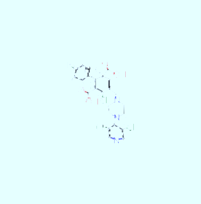 CC1(C(=O)O)C=C(CN2CCN(c3c(Cl)cncc3Cl)CC2)C(Cl)=C(C(=O)O)C1c1ccc(F)cc1